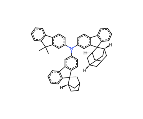 CC1(C)c2ccccc2-c2ccc(N(c3ccc4c(c3)-c3ccccc3[C@@]43CC4CC[C@H]3C4)c3ccc4c(c3)C3(c5ccccc5-4)[C@H]4CC5C[C@H](C4)C[C@H]3C5)cc21